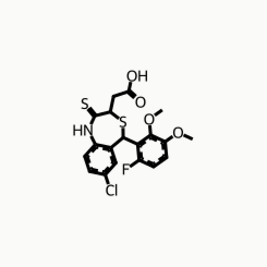 COc1ccc(F)c(C2SC(CC(=O)O)C(=S)Nc3ccc(Cl)cc32)c1OC